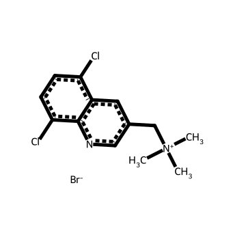 C[N+](C)(C)Cc1cnc2c(Cl)ccc(Cl)c2c1.[Br-]